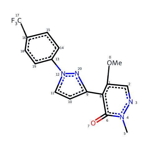 COc1cnn(C)c(=O)c1-c1ccn(-c2ccc(C(F)(F)F)cc2)n1